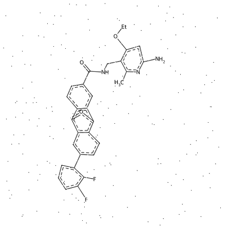 CCOc1cc(N)nc(C)c1CNC(=O)c1ccc2c(c1)c1oc2c2cc(-c3cccc(F)c3F)ccc21